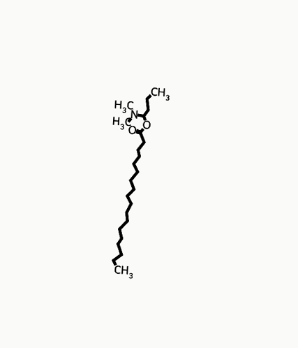 CCCCCCCCCCCCCCCCCC(=O)OC(CCC)N(C)C